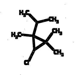 CC(C)C1(C)C(Cl)C1(C)C